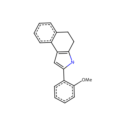 COc1ccccc1C1=CC2=C(CCc3ccccc32)[N]1